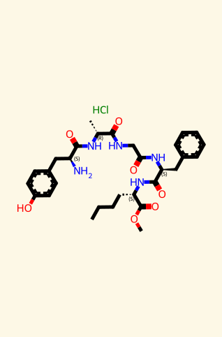 CCCC[C@H](NC(=O)[C@H](Cc1ccccc1)NC(=O)CNC(=O)[C@@H](C)NC(=O)[C@@H](N)Cc1ccc(O)cc1)C(=O)OC.Cl